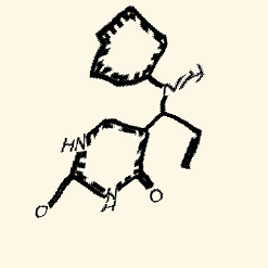 C=CC(Nc1ccccc1)c1c[nH]c(=O)[nH]c1=O